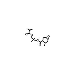 C=C(C)C(=O)OCC(C)(C)COC(=O)C1CC2OC2CC1C